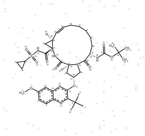 COc1ccc2nc(C(F)(F)F)c(O[C@@H]3C[C@H]4C(=O)N[C@]5(C(=O)NS(=O)(=O)C6CC6)C[C@H]5/C=C\CCCCC[C@H](NC(=O)OC(C)(C)C)C(=O)N4C3)nc2c1